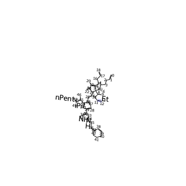 C=CCCC[C@H](C)C1(C(C)C/C=C\CC)C(CCC=C)=C(C)[C@H](C)C1CC[C@H]1CC=C([C@@H](C=N)CNCC[C@H]2C=CCCC2)C=C1C(C)C(CCCCC)C(C)C